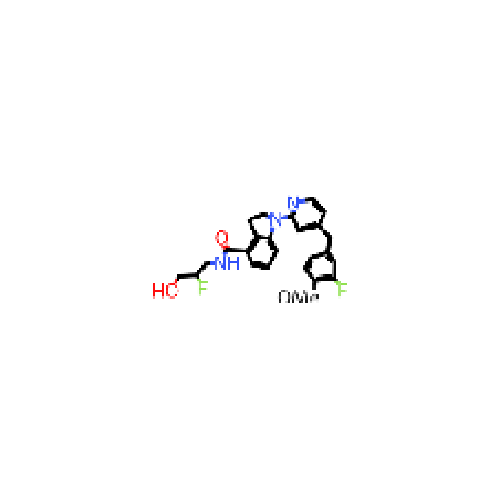 COc1ccc(Cc2ccnc(N3CCc4c(C(=O)NCC(F)CO)cccc43)c2)cc1F